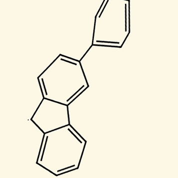 [CH]1c2ccccc2-c2cc(-c3ccccc3)ccc21